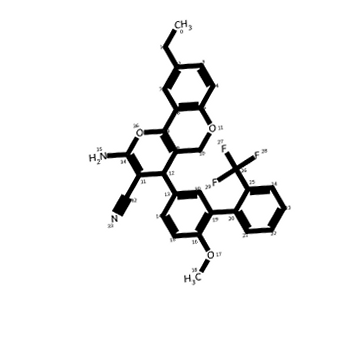 CCc1ccc2c(c1)C1=C(CO2)C(c2ccc(OC)c(-c3ccccc3C(F)(F)F)c2)C(C#N)=C(N)O1